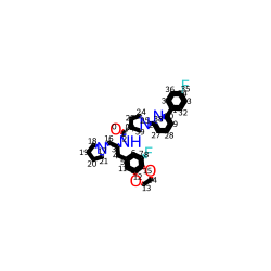 O=C(NC(Cc1cc(F)c2c(c1)OCCO2)CN1CCCC1)[C@@H]1CCN(c2cccc(-c3ccc(F)cc3)n2)C1